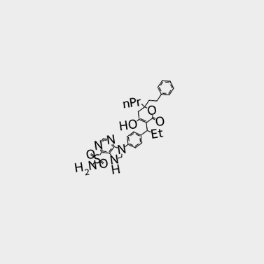 CCCC1(CCc2ccccc2)CC(O)=C(C(CC)c2ccc(N3CNc4c3ncnc4S(N)(=O)=O)cc2)C(=O)O1